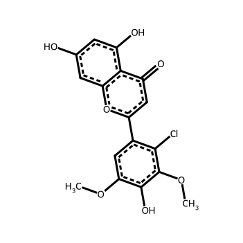 COc1cc(-c2cc(=O)c3c(O)cc(O)cc3o2)c(Cl)c(OC)c1O